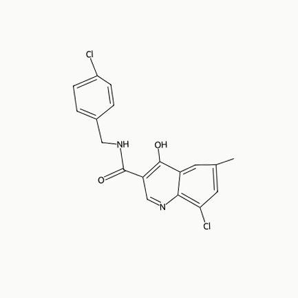 Cc1cc(Cl)c2ncc(C(=O)NCc3ccc(Cl)cc3)c(O)c2c1